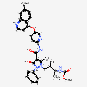 COc1ccc2c(Oc3ccc(NC(=O)c4c(C)n(CC(C)C(NC(=O)OC(C)(C)C)C(=O)O)n(-c5ccccc5)c4=O)nc3)ccnc2c1